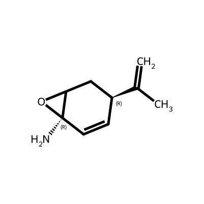 C=C(C)[C@H]1C=C[C@@]2(N)OC2C1